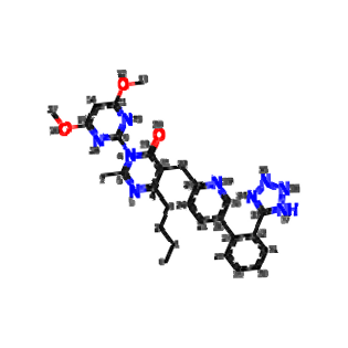 CCCCc1nc(C)n(-c2nc(OC)cc(OC)n2)c(=O)c1Cc1ccc(-c2ccccc2-c2nnn[nH]2)cn1